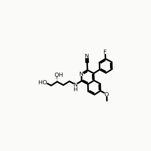 COc1ccc2c(NCC[C@@H](O)CO)nc(C#N)c(-c3cccc(F)c3)c2c1